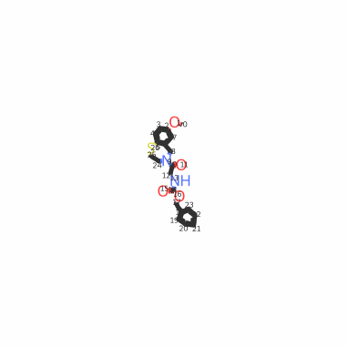 COc1ccc2c(c1)CN(C(=O)CNC(=O)OCc1ccccc1)CCS2